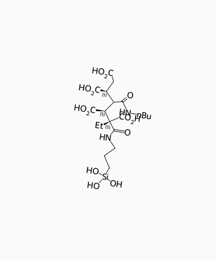 CCCCNC(=O)C([C@H](CC(=O)O)C(=O)O)[C@H](C(=O)O)[C@](CC)(C(=O)O)C(=O)NCCC[Si](O)(O)O